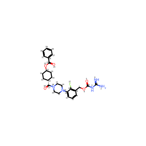 N=C(N)NC(=O)OCc1cccc(N2CCN(C(=O)[C@H]3CC[C@H](OC(=O)c4ccccc4)CC3)CC2)c1F